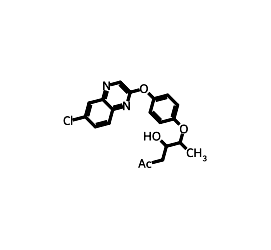 CC(=O)CC(O)C(C)Oc1ccc(Oc2cnc3cc(Cl)ccc3n2)cc1